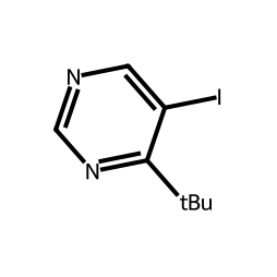 CC(C)(C)c1ncncc1I